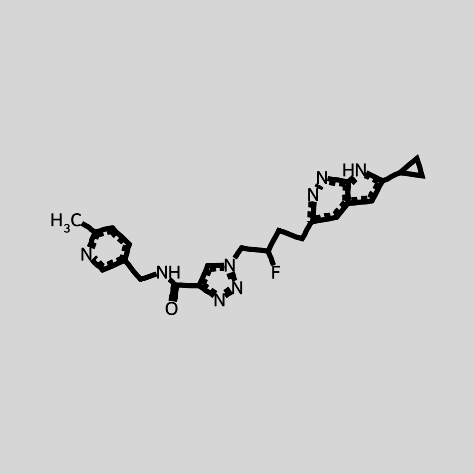 Cc1ccc(CNC(=O)c2cn(CC(F)CCc3cc4cc(C5CC5)[nH]c4nn3)nn2)cn1